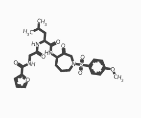 COc1ccc(S(=O)(=O)N2CCCC(NC(=O)C(CC(C)C)NC(=O)CNC(=O)c3ccco3)C(=O)C2)cc1